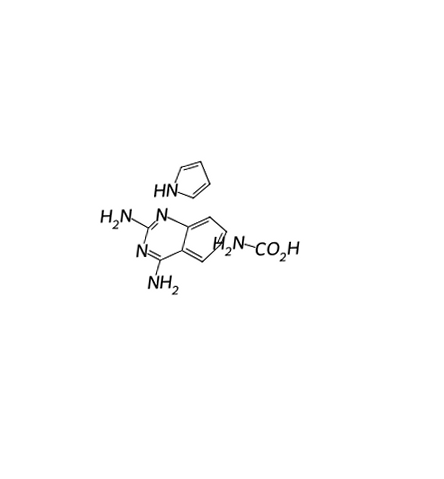 NC(=O)O.Nc1nc(N)c2ccccc2n1.c1cc[nH]c1